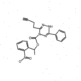 C#CCCC1=NNC(c2ccccc2)=NN1C(=O)OC(C)c1ccccc1[N+](=O)[O-]